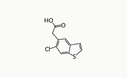 O=C(O)Cc1cc2ccsc2cc1Cl